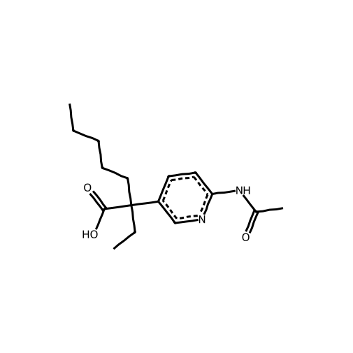 CCCCCC(CC)(C(=O)O)c1ccc(NC(C)=O)nc1